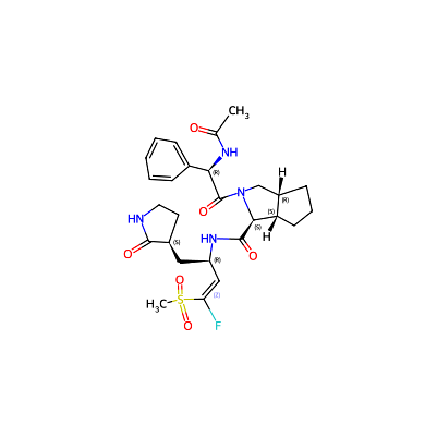 CC(=O)N[C@@H](C(=O)N1C[C@@H]2CCC[C@@H]2[C@H]1C(=O)N[C@@H](/C=C(/F)S(C)(=O)=O)C[C@@H]1CCNC1=O)c1ccccc1